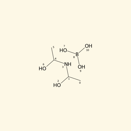 CC(O)NC(C)O.OB(O)O